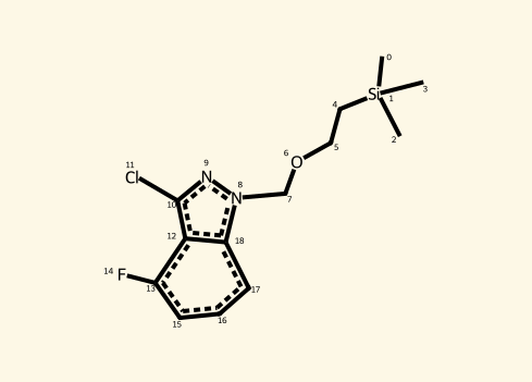 C[Si](C)(C)CCOCn1nc(Cl)c2c(F)cccc21